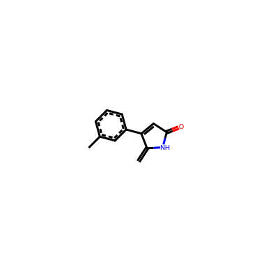 C=C1NC(=O)C=C1c1cccc(C)c1